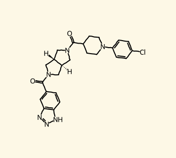 O=C(c1ccc2[nH]nnc2c1)N1C[C@@H]2CN(C(=O)C3CCN(c4ccc(Cl)cc4)CC3)C[C@H]2C1